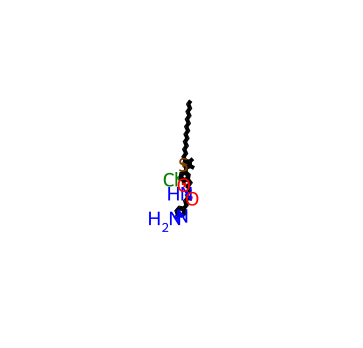 CCCCCCCCCCCCCCCCc1sc(-c2cc(Cl)c3c(c2)CC(CNC(=O)/C=C/c2ccc(N)nc2)O3)c(C)c1C